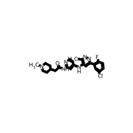 Cc1nnc(-c2cc(Cl)ccc2F)cc1Nc1ccnc(NC(=O)CC2CCN(C)CC2)c1